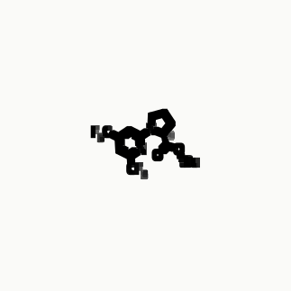 CC(C)(C)OC(=O)[C@@H]1CCCN1c1cc(C(F)(F)F)cc(C(F)(F)F)n1